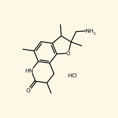 Cc1cc2c(c3c1NC(=O)C(C)C3)OC(C)(CN)C2C.Cl